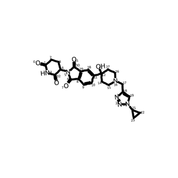 O=C1CCC(N2C(=O)c3ccc(C4(O)CCN(Cc5cn(C6CC6)nn5)CC4)cc3C2=O)C(=O)N1